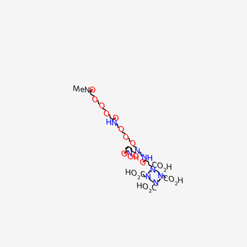 CNC(=O)CCOCCOCCOCCC(=O)NCCOCCOCCOCCN(CCNC(=O)CC[C@H](C(=O)O)N1CCN(CC(=O)O)CCN(CC(=O)O)CCN(CC(=O)O)CC1)C(=O)c1cccc(=O)n1O